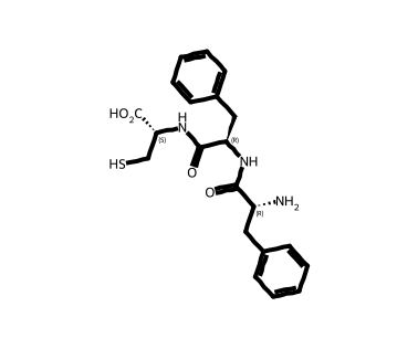 N[C@H](Cc1ccccc1)C(=O)N[C@H](Cc1ccccc1)C(=O)N[C@H](CS)C(=O)O